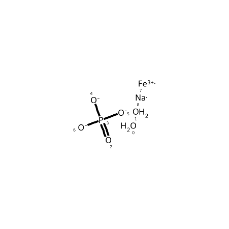 O.O.O=P([O-])([O-])[O-].[Fe+3].[Na]